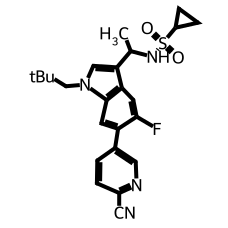 CC(NS(=O)(=O)C1CC1)c1cn(CC(C)(C)C)c2cc(-c3ccc(C#N)nc3)c(F)cc12